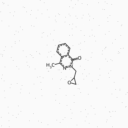 Cc1nn(CC2CO2)c(=O)c2ccccc12